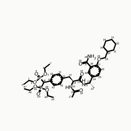 CCOP(=O)(OCC)C(c1ccc(C[C@H](NC(C)=O)C(=O)N[C@@H](C)c2ccc(OCC3CCCCC3)c(C(N)=O)c2)cc1)P(=O)(OCC)OCC